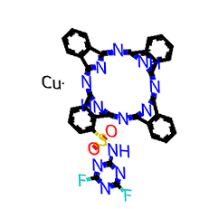 O=S(=O)(Nc1nc(F)nc(F)n1)c1cccc2c3nc4nc(nc5[nH]c(nc6nc(nc([nH]3)c12)-c1ccccc1-6)c1ccccc51)-c1ccccc1-4.[Cu]